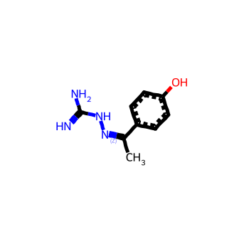 C/C(=N/NC(=N)N)c1ccc(O)cc1